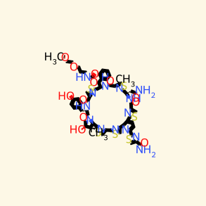 COCCOCCCNC(=O)O[C@H](c1ccccc1)[C@@H]1NC(=O)c2nc(sc2C)[C@H](CC(N)=O)NC(=O)c2csc(n2)-c2ccc(-c3nc(C(N)=O)cs3)nc2-c2csc(n2)-c2csc(n2)[C@@H]2[C@@H](C)[C@@H](O)CN2C(=O)[C@H](Cc2ccc(O)cc2)NC(=O)c2csc1n2